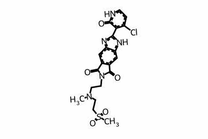 CN(CCN1C(=O)c2cc3nc(-c4c(Cl)cc[nH]c4=O)[nH]c3cc2C1=O)CCS(C)(=O)=O